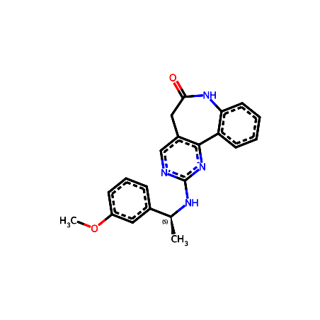 COc1cccc([C@H](C)Nc2ncc3c(n2)-c2ccccc2NC(=O)C3)c1